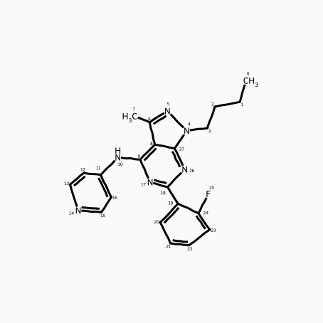 CCCCn1nc(C)c2c(Nc3ccncc3)nc(-c3ccccc3F)nc21